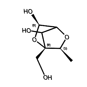 C[C@@H]1OC2C(O)[C@@]1(CO)O[C@H]2O